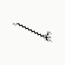 CCCCCCCCCCCCCCCCCCOC(O)(CC)NCC